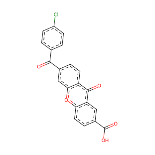 O=C(O)c1ccc2oc3cc(C(=O)c4ccc(Cl)cc4)ccc3c(=O)c2c1